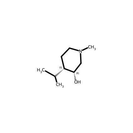 CC(C)[C@@H]1CCN(C)C[C@@H]1O